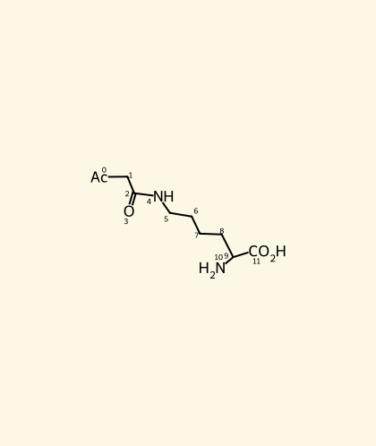 CC(=O)CC(=O)NCCCCC(N)C(=O)O